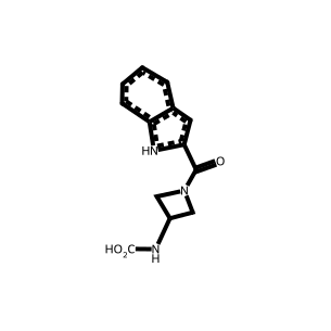 O=C(O)NC1CN(C(=O)c2cc3ccccc3[nH]2)C1